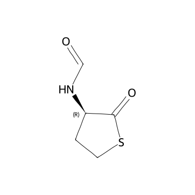 O=CN[C@@H]1CCSC1=O